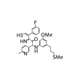 COc1cc(CCCSC)cc(NC(C(=O)C(=N)/C(=C\S)c2cccc(F)c2)c2ccc(C)nc2)c1